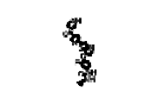 O=C(Nc1ccc(Oc2ccnc3cc(-c4ccc(C(=O)N5CCNCC5)cn4)sc23)c(F)c1)NC1CC1